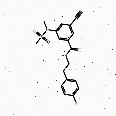 C#Cc1cc(C(=O)NCCc2ccc(F)cc2)cc(N(C)S(C)(=O)=O)c1